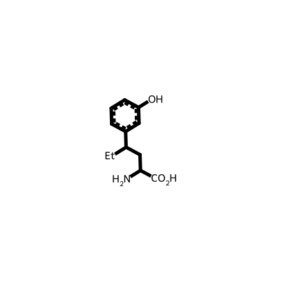 CCC(CC(N)C(=O)O)c1cccc(O)c1